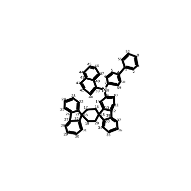 c1ccc(-c2ccc(N(c3ccc4c(c3)C3(CCC5(CC3)c3ccccc3-c3ccccc35)c3ccccc3-4)c3cccc4ccccc34)cc2)cc1